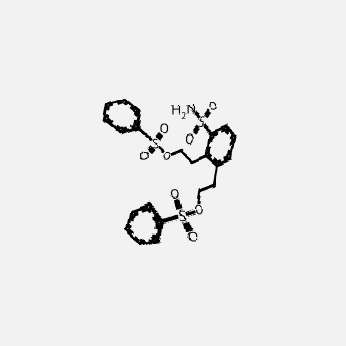 NS(=O)(=O)c1cccc(CCOS(=O)(=O)c2ccccc2)c1CCOS(=O)(=O)c1ccccc1